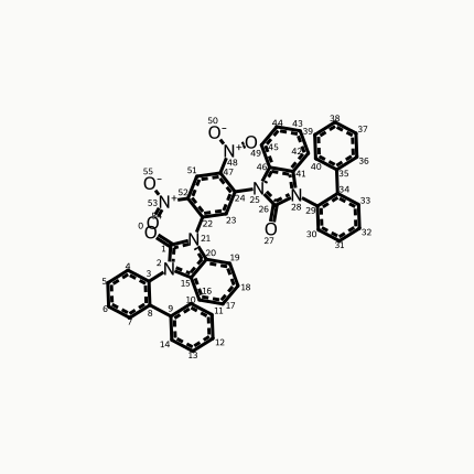 O=c1n(-c2ccccc2-c2ccccc2)c2ccccc2n1-c1cc(-n2c(=O)n(-c3ccccc3-c3ccccc3)c3ccccc32)c([N+](=O)[O-])cc1[N+](=O)[O-]